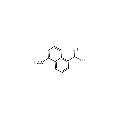 O=C(O)c1cccc2c(C(O)O)cccc12